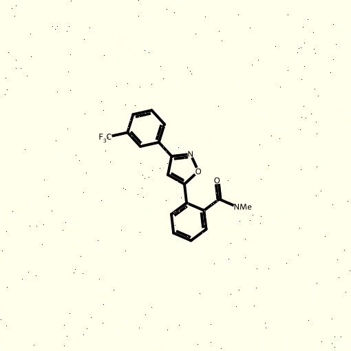 CNC(=O)c1ccccc1-c1cc(-c2cccc(C(F)(F)F)c2)no1